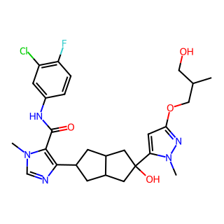 CC(CO)COc1cc(C2(O)CC3CC(c4ncn(C)c4C(=O)Nc4ccc(F)c(Cl)c4)CC3C2)n(C)n1